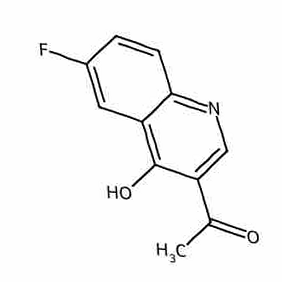 CC(=O)c1cnc2ccc(F)cc2c1O